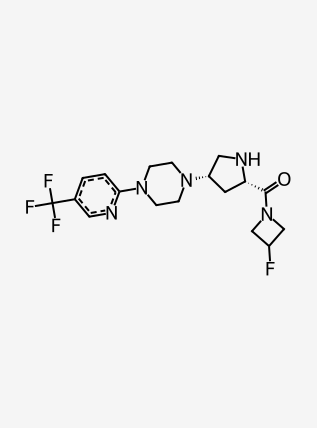 O=C([C@@H]1C[C@H](N2CCN(c3ccc(C(F)(F)F)cn3)CC2)CN1)N1CC(F)C1